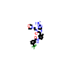 CNc1ncc2nc(-c3cc(NC(=O)c4cccc(C(F)(F)F)c4)ccc3C)c(=O)n(CCN3CCOCC3)c2n1